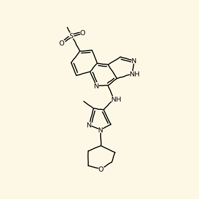 Cc1nn(C2CCOCC2)cc1Nc1nc2ccc(S(C)(=O)=O)cc2c2cn[nH]c12